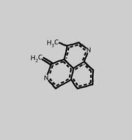 C=c1ncc2cccc3ncc(C)c1c23